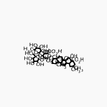 CC1O[C@@H](OC2C(O[C@@H]3OC(CO)[C@H](O)C(O)C3O)[C@H](O[C@H]3CCC4(C)C(CCC5(C)C4CC=C4C6CC(C)(C)CC[C@]6(C(=O)O)C(O)CC45C)C3(C)C=O)OC(C(=O)O)[C@H]2O)C(O)C(O)[C@H]1O